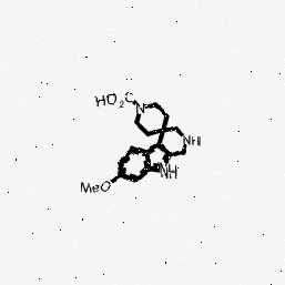 COc1ccc2c3c([nH]c2c1)CNCC31CCN(C(=O)O)CC1